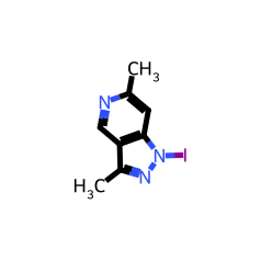 Cc1cc2c(cn1)c(C)nn2I